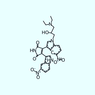 CCN(CC)CC(O)Cn1cc(C2=C(c3c[nH]c4ccc([N+](=O)[O-])cc34)C(=O)NC2=O)c2cc([N+](=O)[O-])ccc21